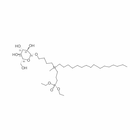 CCCCCCCCCCCCCCCC[N+](C)(CCCCO[C@@H]1O[C@H](CO)[C@@H](O)[C@H](O)[C@H]1O)CCCP(=O)(OCC)OCC